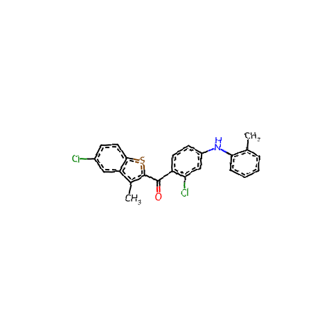 Cc1ccccc1Nc1ccc(C(=O)c2sc3ccc(Cl)cc3c2C)c(Cl)c1